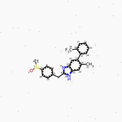 CC[S+]([O-])c1ccc(Cc2nc3cc(-c4ccccc4C(F)(F)F)c(C)cc3[nH]2)cc1